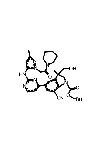 Cc1cc(Nc2nccc(-c3cc(C#N)c4c(c3)C(C)(CO)CN4C(=O)OC(C)(C)C)n2)n(CC(=O)N2CCCCC2)n1